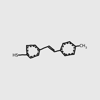 Cc1ccc(C=Cc2ccc(S)cc2)cc1